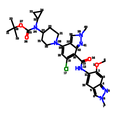 COc1cc2nn(C)cc2cc1NC(=O)c1c(Cl)cc(N2CCC(N(C(=O)OC(C)(C)C)C3CC3)CC2)c2cn(C)nc12